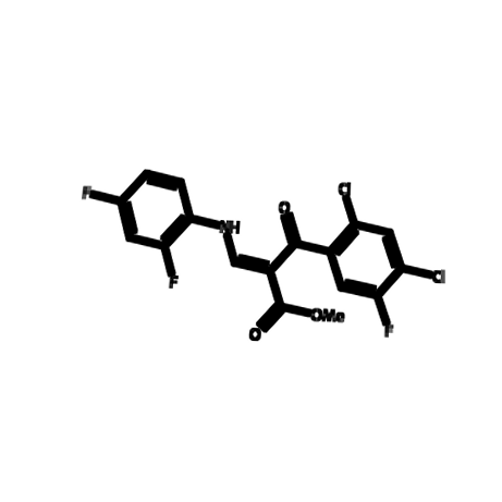 COC(=O)C(=CNc1ccc(F)cc1F)C(=O)c1cc(F)c(Cl)cc1Cl